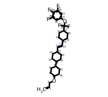 C=CCOC1CCC(C2CCC(/C=C/C3CCC(C(F)(F)Oc4cc(F)c(F)c(F)c4)CC3)CC2)CC1